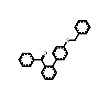 O=C(c1ccccc1)c1ccccc1-c1ccc(SCc2ccccc2)cc1